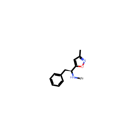 Cc1cc([C@H](Cc2ccccc2)NC(C)C)on1